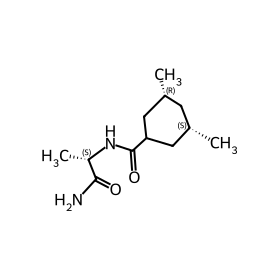 C[C@@H]1CC(C(=O)N[C@@H](C)C(N)=O)C[C@H](C)C1